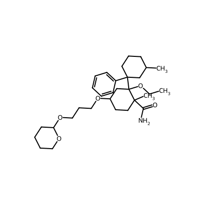 CCOC1(C2(c3ccccc3)CCCC(C)C2)CC(OCCCOC2CCCCO2)CCC1(C)C(N)=O